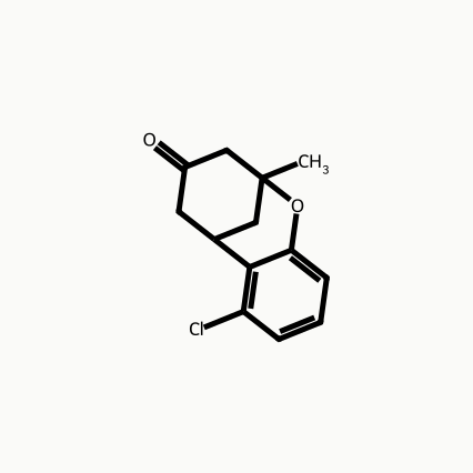 CC12CC(=O)CC(C1)c1c(Cl)cccc1O2